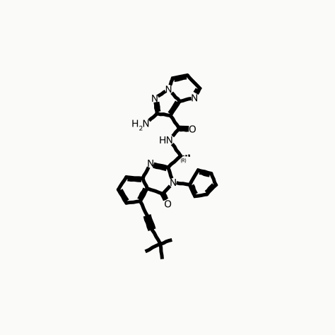 C[C@@H](NC(=O)c1c(N)nn2cccnc12)c1nc2cccc(C#CC(C)(C)C)c2c(=O)n1-c1ccccc1